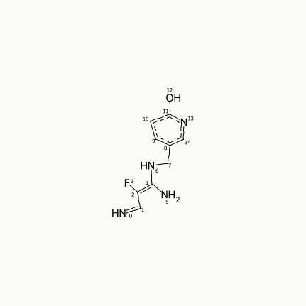 N=C/C(F)=C(\N)NCc1ccc(O)nc1